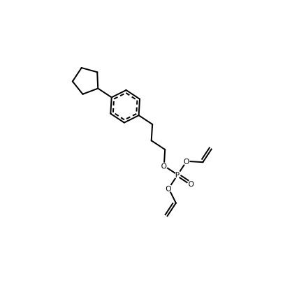 C=COP(=O)(OC=C)OCCCc1ccc(C2CCCC2)cc1